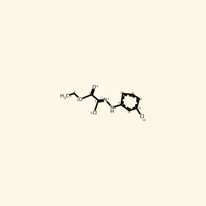 CCOC(=O)/C(Cl)=N/Nc1cccc(Cl)c1